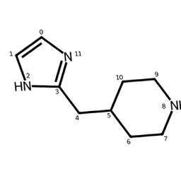 c1c[nH]c(CC2CCNCC2)n1